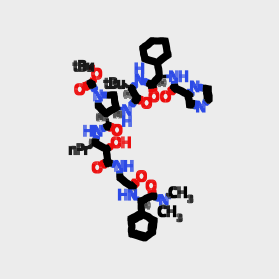 CCC[C@H](NC(=O)[C@@H]1CN(C(=O)OC(C)(C)C)C[C@@H]1NC(=O)[C@@H](NC(=O)[C@@H](NC(=O)c1cnccn1)C1CCCCC1)C(C)(C)C)C(O)C(=O)NCC(=O)N[C@H](C(=O)N(C)C)c1ccccc1